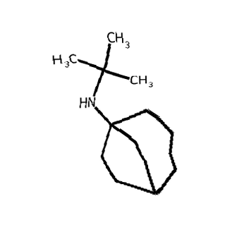 CC(C)(C)NC12CCCC(CC1)CC2